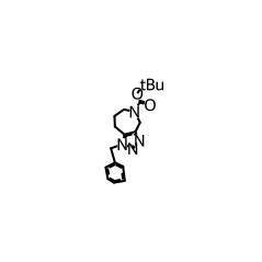 CC(C)(C)OC(=O)N1CCCc2c(nnn2Cc2ccccc2)C1